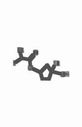 CCC(I)C(=O)OC1CCC(O)(CC)C1